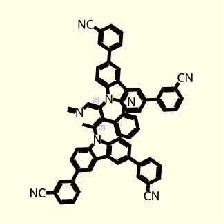 C=N/C=C(\C(=C(/C)n1c2ccc(-c3cccc(C#N)c3)cc2c2cc(-c3cccc(C#N)c3)ccc21)c1ccccc1C#N)n1c2ccc(-c3cccc(C#N)c3)cc2c2cc(-c3cccc(C#N)c3)ccc21